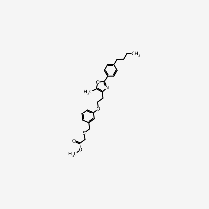 CCCCc1ccc(-c2nc(CCOc3cccc(CSCC(=O)OC)c3)c(C)o2)cc1